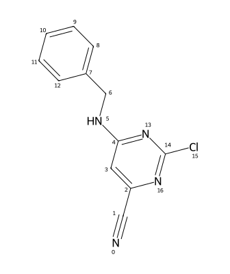 N#Cc1cc(NCc2ccccc2)nc(Cl)n1